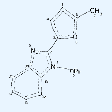 CCCn1c(-c2ccc(C)o2)nc2ccccc21